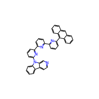 c1cc(-c2cccc(-c3c4ccccc4cc4ccccc34)n2)nc(-c2cccc(-n3c4ccccc4c4ccncc43)n2)c1